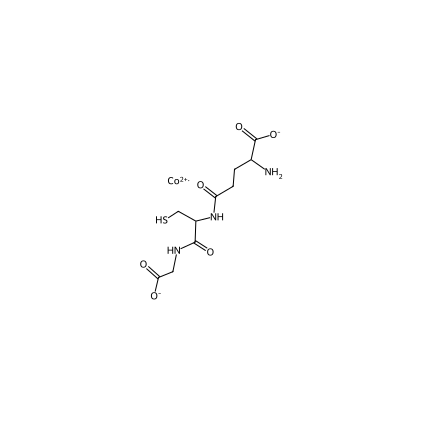 NC(CCC(=O)NC(CS)C(=O)NCC(=O)[O-])C(=O)[O-].[Co+2]